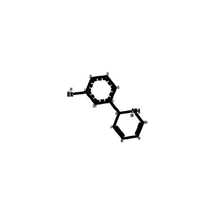 CCc1cccc(C2C=CC=CN2)c1